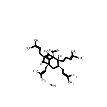 CC(C)=CCC[C@]1(C)[C@@H](CC=C(C)C)C[C@]2(CC=C(C)C)C(=O)C(CC=C(C)C)=C(O)[C@@]1(C(=O)C(C)C)C2=O.[NaH]